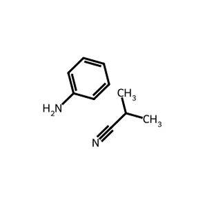 CC(C)C#N.Nc1ccccc1